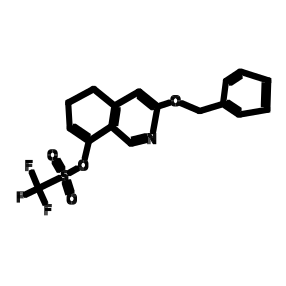 O=S(=O)(OC1=CCCc2cc(OCc3ccccc3)ncc21)C(F)(F)F